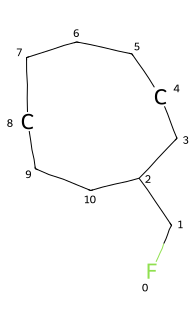 FCC1CCCCCCCC1